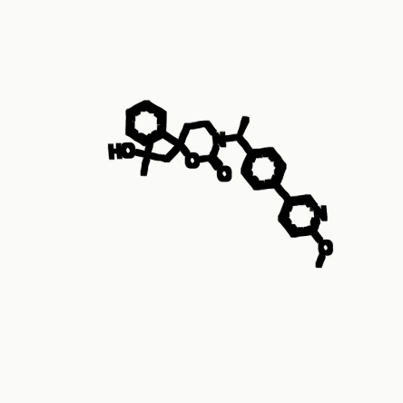 COc1ccc(-c2ccc([C@H](C)N3CCC(CC(C)(C)O)(c4ccccc4)OC3=O)cc2)cn1